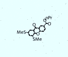 CCCOC(=O)c1ccc2oc3c(SC)cc(SC)cc3c(=O)c2c1